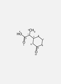 CC(C(=O)O)C1CCCC(=O)C1